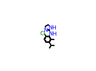 Cc1c(C(C)C)ccc(Cl)c1NC1=NCCN1